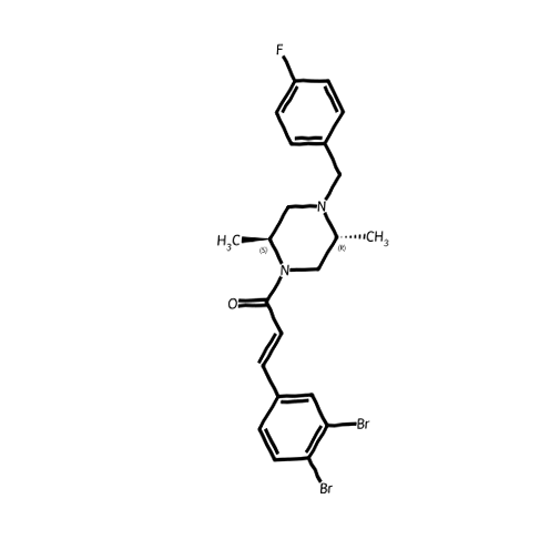 C[C@@H]1CN(C(=O)C=Cc2ccc(Br)c(Br)c2)[C@@H](C)CN1Cc1ccc(F)cc1